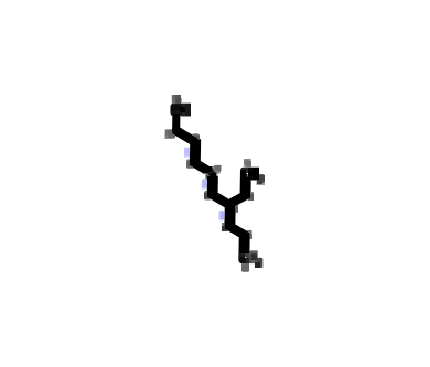 C=C/C=C(C=C)/C=N/C=C/CO